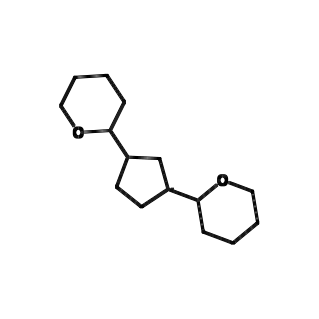 C1CCC([C]2CCC(C3CCCCO3)C2)OC1